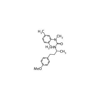 COc1ccc(CCC(C)NC(=O)N(C)c2cc(C)ccc2C)cc1